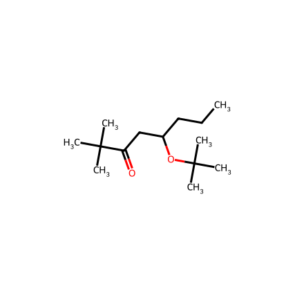 CCCC(CC(=O)C(C)(C)C)OC(C)(C)C